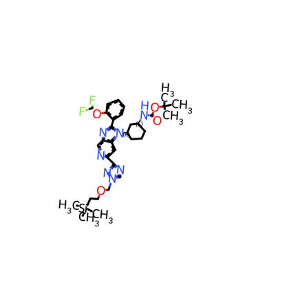 CC(C)(C)OC(=O)N[C@H]1CCC[C@@H](n2c(-c3ccccc3OC(F)F)nc3cnc(-c4ncn(COCC[Si](C)(C)C)n4)cc32)C1